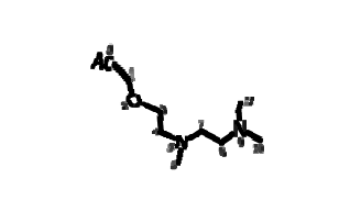 CC(=O)COCCN(C)CCN(C)C